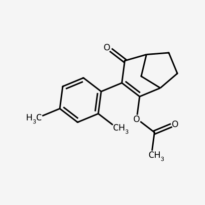 CC(=O)OC1=C(c2ccc(C)cc2C)C(=O)C2CCC1C2